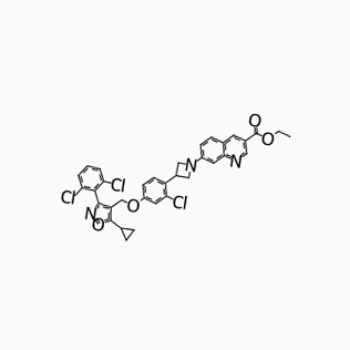 CCOC(=O)c1cnc2cc(N3CC(c4ccc(OCc5c(-c6c(Cl)cccc6Cl)noc5C5CC5)cc4Cl)C3)ccc2c1